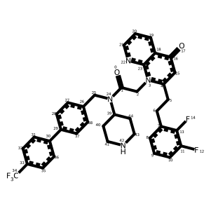 O=C(Cn1c(CCc2cccc(F)c2F)cc(=O)c2cccnc21)N(Cc1ccc(-c2ccc(C(F)(F)F)cc2)cc1)C1CCNCC1